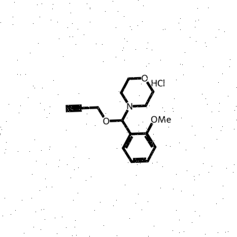 C#CCOC(c1ccccc1OC)N1CCOCC1.Cl